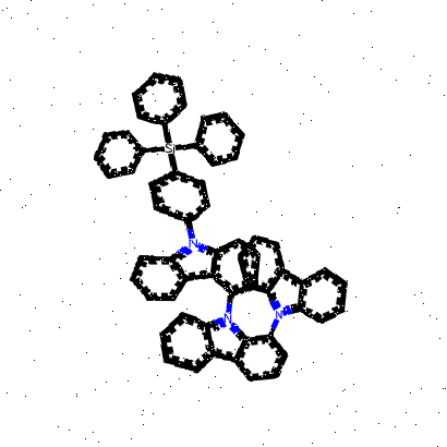 c1ccc([Si](c2ccccc2)(c2ccccc2)c2ccc(-n3c4ccccc4c4c(-n5c6ccccc6c6cccc(-n7c8ccccc8c8ccccc87)c65)cccc43)cc2)cc1